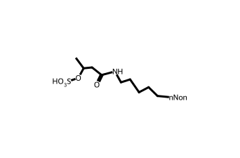 CCCCCCCCCCCCCCNC(=O)CC(C)OS(=O)(=O)O